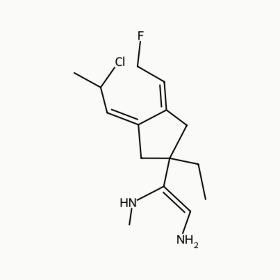 CCC1(/C(=C/N)NC)CC(=C/CF)/C(=C\C(C)Cl)C1